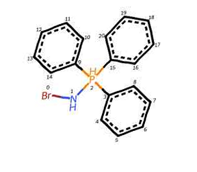 BrN[PH](c1ccccc1)(c1ccccc1)c1ccccc1